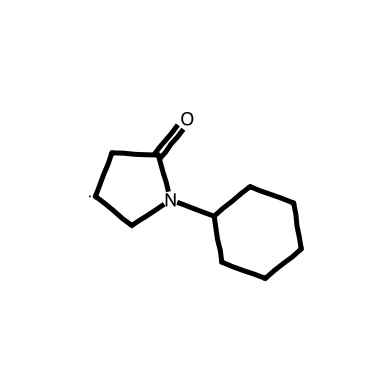 O=C1C[CH]CN1C1CCCCC1